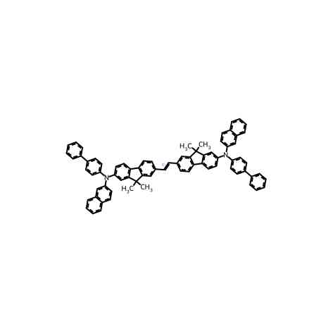 CC1(C)c2cc(/C=C/c3ccc4c(c3)C(C)(C)c3cc(N(c5ccc(-c6ccccc6)cc5)c5ccc6ccccc6c5)ccc3-4)ccc2-c2ccc(N(c3ccc(-c4ccccc4)cc3)c3ccc4ccccc4c3)cc21